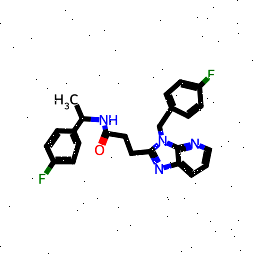 CC(NC(=O)CCc1nc2cccnc2n1Cc1ccc(F)cc1)c1ccc(F)cc1